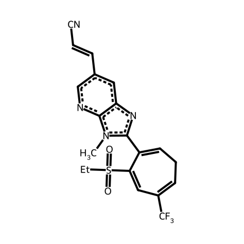 CCS(=O)(=O)C1=CC(C(F)(F)F)=CCC=C1c1nc2cc(/C=C/C#N)cnc2n1C